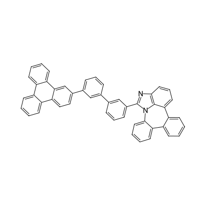 c1cc(-c2cccc(-c3nc4cccc5c4n3-c3ccccc3-c3ccccc3-5)c2)cc(-c2ccc3c4ccccc4c4ccccc4c3c2)c1